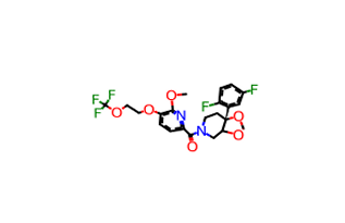 COc1nc(C(=O)N2CC[C@]3(c4cc(F)ccc4F)OCOC3C2)ccc1OCCOC(F)(F)F